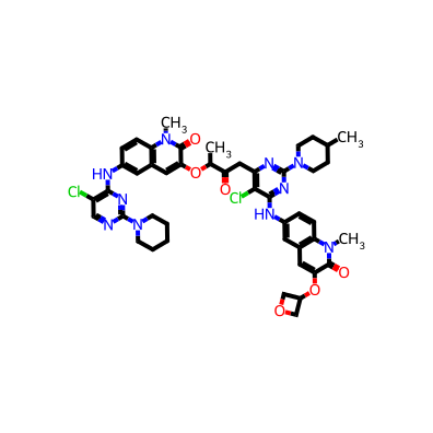 CC1CCN(c2nc(CC(=O)C(C)Oc3cc4cc(Nc5nc(N6CCCCC6)ncc5Cl)ccc4n(C)c3=O)c(Cl)c(Nc3ccc4c(c3)cc(OC3COC3)c(=O)n4C)n2)CC1